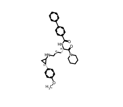 COc1ccc([C@@H]2CC2NCSC[C@H](NC(=O)c2ccc(-c3ccccc3)cc2)C(=O)N2CCCCC2)cc1